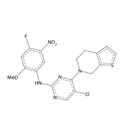 COc1cc(F)c([N+](=O)[O-])cc1Nc1ncc(Cl)c(N2CCc3ccsc3C2)n1